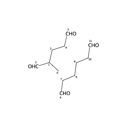 CC(C=O)CCC=O.O=CCCCCC=O